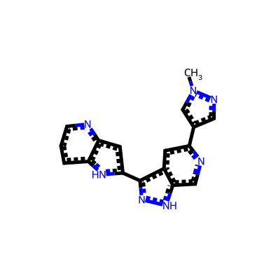 Cn1cc(-c2cc3c(-c4cc5ncccc5[nH]4)n[nH]c3cn2)cn1